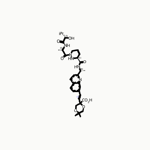 CC(C)[C@H](O)C(=O)N[C@@H](C)C(=O)N1CCC[C@@H](C(=O)N[C@H](C)c2ccc3ccc(/C=C/C4(C(=O)O)COC(C)(C)CO4)cc3n2)N1